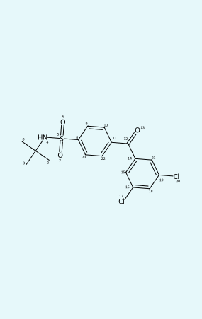 CC(C)(C)NS(=O)(=O)c1ccc(C(=O)c2cc(Cl)cc(Cl)c2)cc1